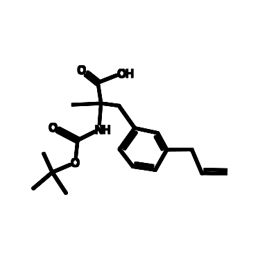 C=CCc1cccc(CC(C)(NC(=O)OC(C)(C)C)C(=O)O)c1